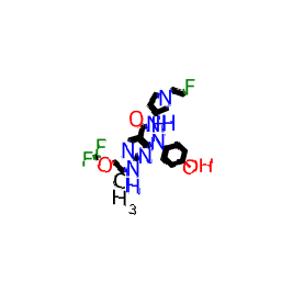 C[C@@H](COC(F)F)Nc1ncc(C(=O)N[C@H]2CCN(CCF)C2)c(N[C@H]2CC[C@H](O)CC2)n1